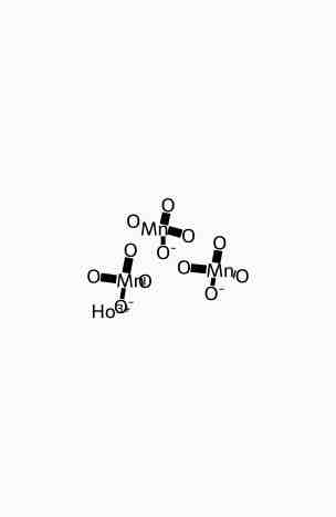 [Ho+3].[O]=[Mn](=[O])(=[O])[O-].[O]=[Mn](=[O])(=[O])[O-].[O]=[Mn](=[O])(=[O])[O-]